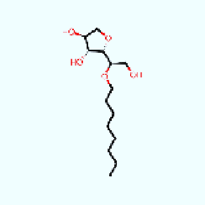 CCCCCCCCO[C@H](CO)[C@H]1OC[C@H](O)[C@H]1O